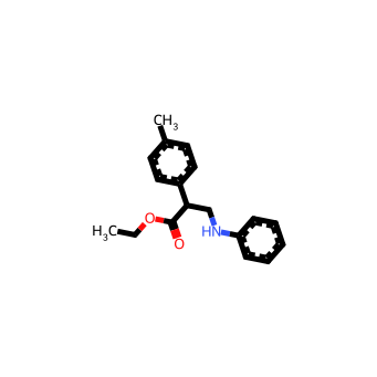 CCOC(=O)C(CNc1ccccc1)c1ccc(C)cc1